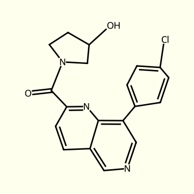 O=C(c1ccc2cncc(-c3ccc(Cl)cc3)c2n1)N1CCC(O)C1